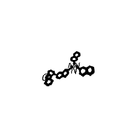 C1=c2ccccc2=CC(c2nc(-c3ccc4ccccc4c3)nc(-c3ccc4ccc(-c5cccc6oc7ccccc7c56)cc4c3)n2)C1